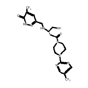 O=C(C[C@@H](CO)NCc1cc(C(F)(F)F)c(=O)[nH]n1)N1CCN(c2ncc(C(F)(F)F)cn2)CC1